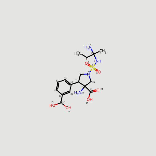 CCC(C)(N)NS(=O)(=O)N1CC(c2cccc(B(O)O)c2)C(N)(C(=O)O)C1